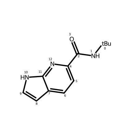 CC(C)(C)NC(=O)c1ccc2cc[nH]c2n1